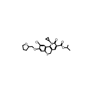 CC(C)OC(=O)c1cc2c(n(C3CC3)c1=O)-c1cc(Cl)c(OCC3CCCO3)cc1SC2